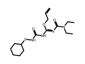 C=CCOC(=NC(=O)N(CC)CC)NC(=O)NSC1CCCCC1